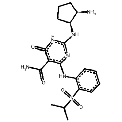 CC(C)S(=O)(=O)c1ccccc1Nc1nc(N[C@H]2CCC[C@H]2N)[nH]c(=O)c1C(N)=O